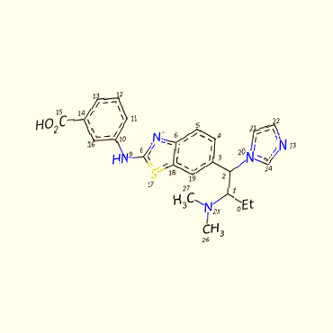 CCC(C(c1ccc2nc(Nc3cccc(C(=O)O)c3)sc2c1)n1ccnc1)N(C)C